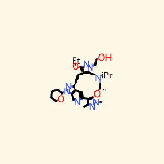 CCOc1nn(CCO)c2c1/C=C/c1nn(C3CCCCO3)c3cnc(cc13)-c1c(C)nn(C)c1O[C@@H](C)CN(C(C)C)C2